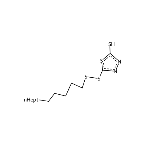 CCCCCCCCCCCCSSc1nnc(S)s1